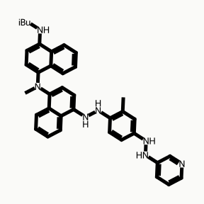 CCC(C)Nc1ccc(N(C)c2ccc(NNc3ccc(NNc4cccnc4)cc3C)c3ccccc23)c2ccccc12